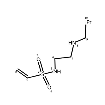 C=CS(=O)(=O)NCCNCC(C)C